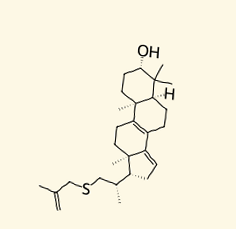 C=C(C)CSC[C@@H](C)[C@H]1CC=C2C3=C(CC[C@@]21C)[C@@]1(C)CC[C@H](O)C(C)(C)[C@H]1CC3